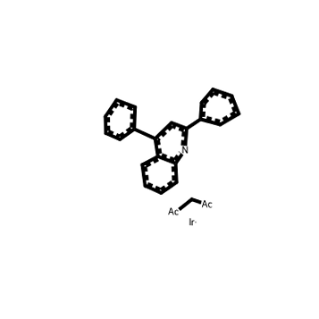 CC(=O)CC(C)=O.[Ir].c1ccc(-c2cc(-c3ccccc3)c3ccccc3n2)cc1